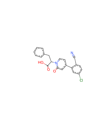 N#Cc1ccc(Cl)cc1-c1ccn(C(Cc2ccccc2)C(=O)O)c(=O)c1